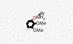 COc1cccc(O[SiH2]C(C)C)c1OC